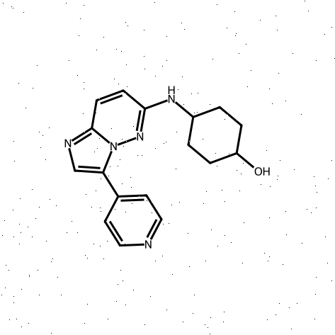 OC1CCC(Nc2ccc3ncc(-c4ccncc4)n3n2)CC1